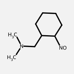 CN(C)CC1CCCCC1N=O